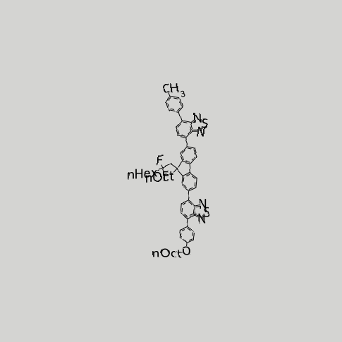 CCCCCCCCOc1ccc(-c2ccc(-c3ccc4c(c3)C(CCCCCCCC)(CC(F)(F)CCCCCC)c3cc(-c5ccc(-c6ccc(C)cc6)c6nsnc56)ccc3-4)c3nsnc23)cc1